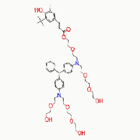 Cc1cc(CCC(=O)OCCOCCN(CCOCCOCCO)c2ccc(C(c3ccccc3)c3ccc(N(CCOCCO)CCOCCOCCO)cc3)cc2)cc(C(C)(C)C)c1O